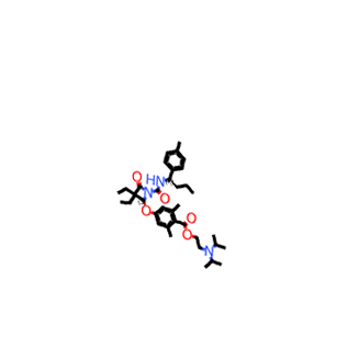 CCC[C@@H](NC(=O)N1C(=O)C(CC)(CC)[C@@H]1Oc1cc(C)c(C(=O)OCCN(C(C)C)C(C)C)c(C)c1)c1ccc(C)cc1